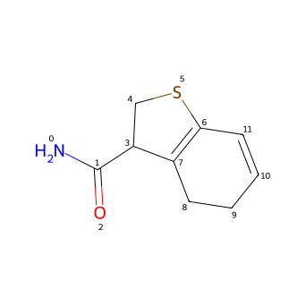 NC(=O)C1CSC2=C1CCC=C2